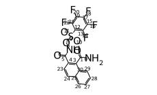 NC(=O)c1c(C(=O)NOS(=O)(=O)c2c(F)c(F)c(F)c(F)c2F)ccc2ccccc12